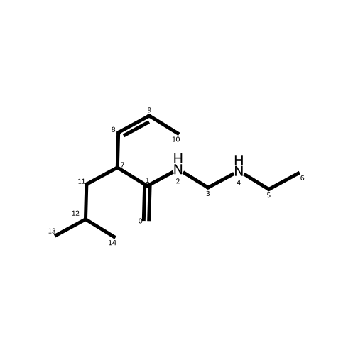 C=C(NCNCC)C(/C=C\C)CC(C)C